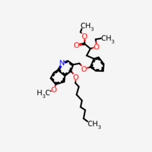 CCCCCCCCOc1c(COc2ccccc2CC(OCC)C(=O)OCC)cnc2ccc(OC)cc12